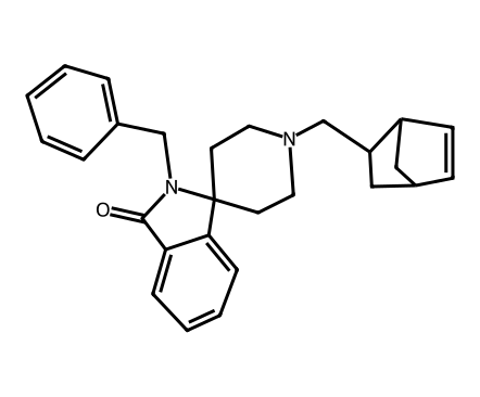 O=C1c2ccccc2C2(CCN(CC3CC4C=CC3C4)CC2)N1Cc1ccccc1